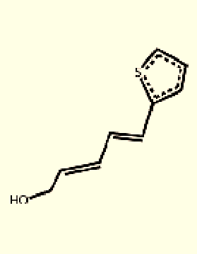 OCC=CC=Cc1cccs1